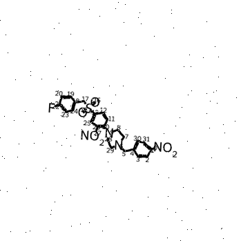 O=[N+]([O-])c1ccc(CN2CCN(c3ccc(S(=O)(=O)Cc4ccc(F)cc4)cc3[N+](=O)[O-])CC2)cc1